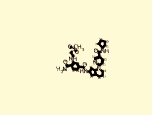 CS(=O)(=O)CCNc1cc(C(=O)NC2CC3CCCN(c4ccc(C(=O)NC5CCCC5)cn4)C3C2)ccc1C(N)=O